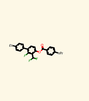 CCCc1ccc(C(=O)Oc2ccc(-c3ccc(CC)cc3)c(F)c2C(F)F)cc1